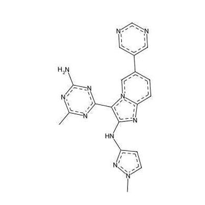 Cc1nc(N)nc(-c2c(Nc3ccn(C)n3)nc3ccc(-c4cncnc4)cn23)n1